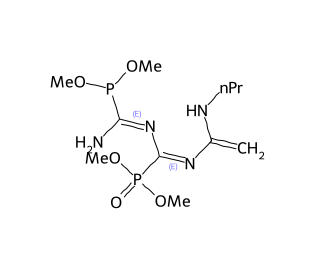 C=C(/N=C(\N=C(/N)P(OC)OC)P(=O)(OC)OC)NCCC